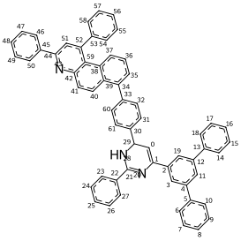 C1=C(c2cc(-c3ccccc3)cc(-c3ccccc3)c2)N=C(c2ccccc2)NC1c1ccc(-c2cccc3c2ccc2nc(-c4ccccc4)cc(-c4ccccc4)c23)cc1